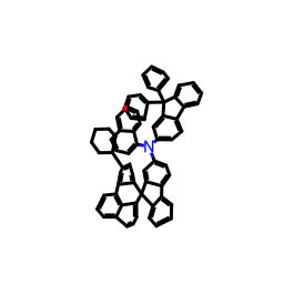 c1ccc(C2(c3ccccc3)c3ccccc3-c3ccc(N(c4ccc5c(c4)C4(c6ccccc6-5)c5ccc(C6CCCCC6)cc5-c5cccc6cccc4c56)c4cccc5ccccc45)cc32)cc1